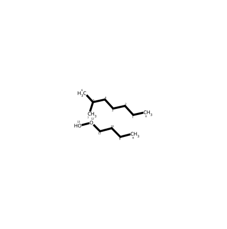 CCCCCC(C)C.CCCCOO